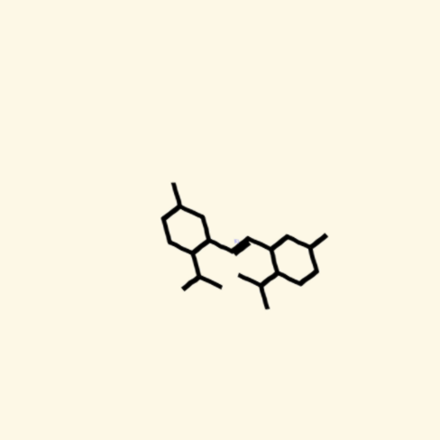 CC1CCC(C(C)C)C(/[C]=C/C2CC(C)CCC2C(C)C)C1